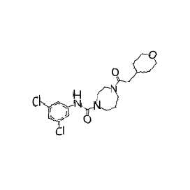 O=C(CC1CCOCC1)N1CCCN(C(=O)Nc2cc(Cl)cc(Cl)c2)CC1